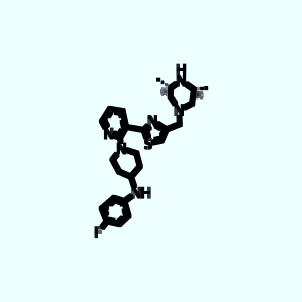 C[C@@H]1CN(Cc2csc(-c3cccnc3N3CCC(Nc4ccc(F)cc4)CC3)n2)C[C@H](C)N1